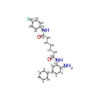 Nc1ccc(-c2ccccc2)cc1NC(=O)CCCCCC(=O)Nc1ccc(F)cc1